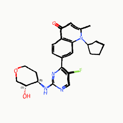 Cc1cc(=O)c2ccc(-c3nc(N[C@@H]4CCOC[C@H]4O)ncc3F)cc2n1C1CCCC1